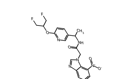 CC(NC(=O)Cn1cnc2cccc([N+](=O)[O-])c21)c1ccc(OC(CF)CF)nc1